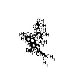 CCO[C@@H]1C[C@@H]2[C@@]3(C)CC[C@H](O)C(C)(C)[C@@H]3[C@@H](O[C@@H]3OC(CO)[C@@H](O)CC3O[C@@H]3OC4[C@H](O)C4(O)C3O)C[C@@]2(C)[C@]2(C)CC[C@H]([C@@](C)(O)CCC=C(C)C)[C@@]12C